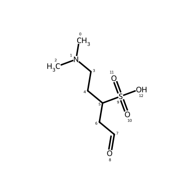 CN(C)CCC(CC=O)S(=O)(=O)O